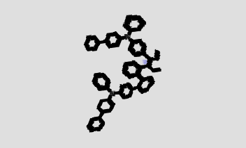 C=C/C(=C(\C=C)c1ccccc1-c1ccccc1-c1ccc(N(C2=CC=C(c3ccccc3)CC2)c2ccccc2)cc1)c1ccc(N(c2ccccc2)c2ccc(-c3ccccc3)cc2)cc1